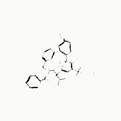 CC(C)C(O)(CN(Cc1ccccc1)Cc1ccccc1)c1cc(C(C)(C)O)c(F)c(-c2ccc(F)cc2)n1